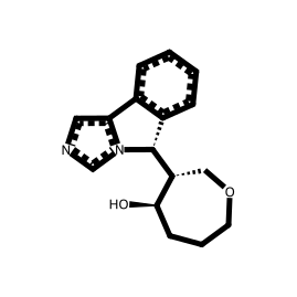 O[C@@H]1CCCOC[C@H]1[C@H]1c2ccccc2-c2cncn21